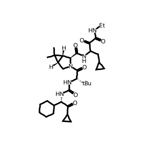 CCNC(=O)C(=O)C(CC1CC1)NC(=O)[C@@H]1[C@@H]2[C@H](CN1C(=O)[C@@H](NC(=O)N[C@H](C(=O)C1CC1)C1CCCCC1)C(C)(C)C)C2(C)C